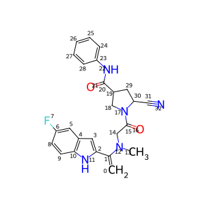 C=C(c1cc2cc(F)ccc2[nH]1)N(C)CC(=O)N1CC(C(=O)Nc2ccccc2)CC1C#N